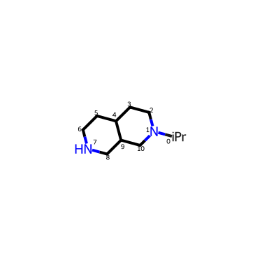 CC(C)N1CCC2CCNCC2C1